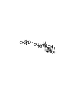 O=C(Cc1ccc(OCCCC2CCN(c3ncc(Cl)cn3)CC2)cc1F)N1C[C@H]2CCN(C[C@H](O)[C@@H](O)[C@H](O)[C@H](O)CO)[C@H]2C1